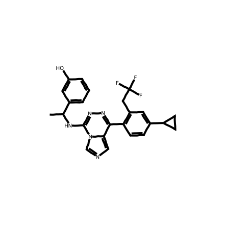 CC(Nc1nnc(-c2ccc(C3CC3)cc2CC(F)(F)F)c2cncn12)c1cccc(O)c1